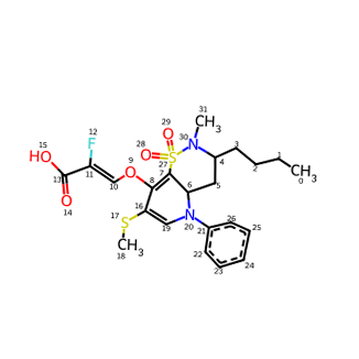 CCCCC1CC2C(=C(O/C=C(\F)C(=O)O)C(SC)=CN2c2ccccc2)S(=O)(=O)N1C